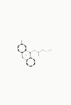 CC(C)NCC(O)CC12CCC(c3ccccc31)c1ccc(Cl)cc12